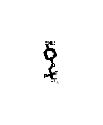 O=Cc1ccc(OCC(F)(F)C(F)(F)F)cc1